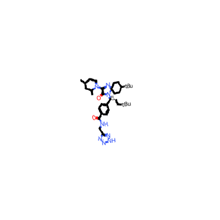 CC1CCN(C2=NC3(CCC(C(C)(C)C)CC3)N([C@H](CCC(C)(C)C)c3ccc(C(=O)NCc4nn[nH]n4)cc3)C2=O)C(C)C1